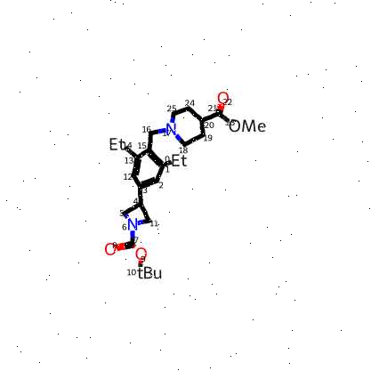 CCc1cc(C2CN(C(=O)OC(C)(C)C)C2)cc(CC)c1CN1CCC(C(=O)OC)CC1